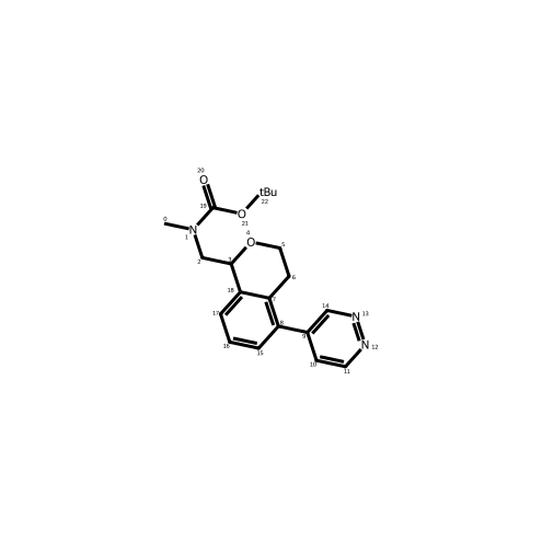 CN(CC1OCCc2c(-c3ccnnc3)cccc21)C(=O)OC(C)(C)C